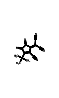 CC(C)(C)C1=C(C#N)C(=C(C#N)C#N)C(=O)C1=O